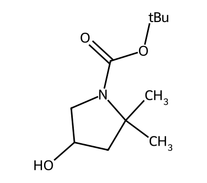 CC(C)(C)OC(=O)N1CC(O)CC1(C)C